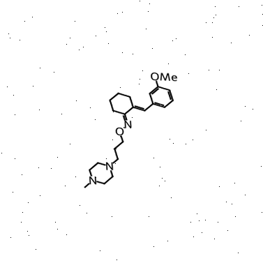 COc1cccc(C=C2CCCCC2=NOCCCN2CCN(C)CC2)c1